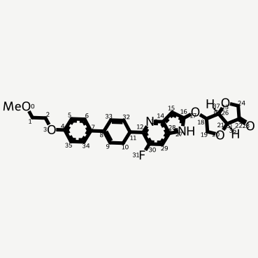 COCCOc1ccc(C2=CCC(c3nc4cc(OC5CO[C@@H]6C(=O)CO[C@H]56)[nH]c4cc3F)C=C2)cc1